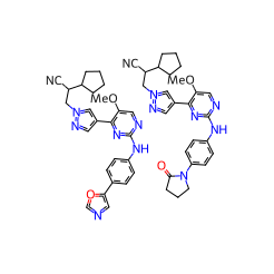 COc1cnc(Nc2ccc(-c3cnco3)cc2)nc1-c1cnn(CC(C#N)C2CCCC2)c1.COc1cnc(Nc2ccc(N3CCCC3=O)cc2)nc1-c1cnn(CC(C#N)C2CCCC2)c1